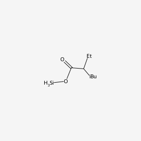 CCC(C)C(CC)C(=O)O[SiH3]